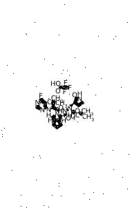 CC(C)(C)OC(=O)N(C[C@@H]1CCNC1=O)NC(=O)[C@@H]1[C@H]2CCC[C@H]2CN1C(=O)[C@@H](Nc1cc(F)ncn1)C(C)(C)C.O=C(O)C(F)(F)F